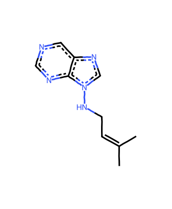 CC(C)=CCNn1cnc2cncnc21